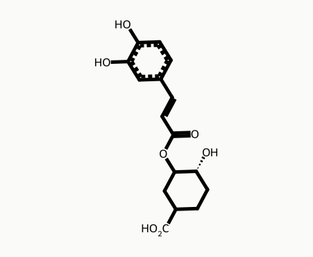 O=C(/C=C/c1ccc(O)c(O)c1)OC1CC(C(=O)O)CC[C@H]1O